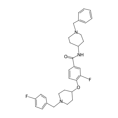 O=C(NC1CCN(Cc2ccccc2)CC1)c1ccc(OC2CCN(Cc3ccc(F)cc3)CC2)c(F)c1